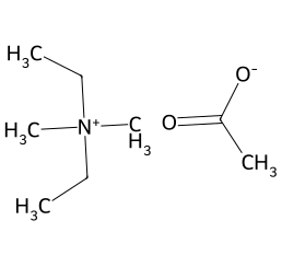 CC(=O)[O-].CC[N+](C)(C)CC